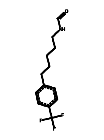 O=[C]NCCCCCc1ccc(C(F)(F)F)cc1